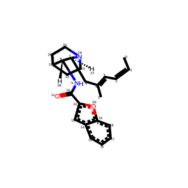 C/C=C\C=C(/C)C[C@H]1[C@H](NC(=O)c2cc3ccccc3o2)C2CCN1CC2